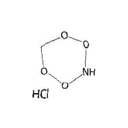 C1OONOO1.Cl